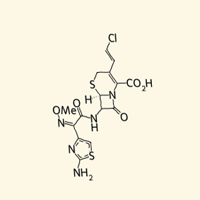 CO/N=C(\C(=O)NC1C(=O)N2C(C(=O)O)=C(/C=C/Cl)CS[C@H]12)c1csc(N)n1